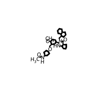 COc1ccc(C2Nc3ccccc3C(=O)N2Cc2cccc3ccccc23)cc1COc1ccc(NC(C)=O)cc1